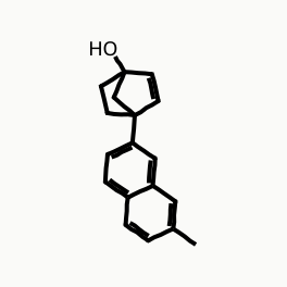 Cc1ccc2ccc(C34C=CC(O)(CC3)C4)cc2c1